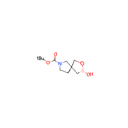 CC(C)(C)OC(=O)N1CCC2(COB(O)C2)C1